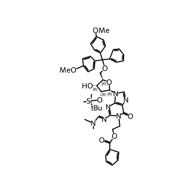 COc1ccc(C(OC[C@H]2O[C@@H](n3cnc4c(=O)n(CCOC(=O)c5ccccc5)c(N=CN(C)C)nc43)[C@H](O[Si](C)(C)C(C)(C)C)[C@@H]2O)(c2ccccc2)c2ccc(OC)cc2)cc1